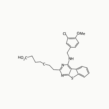 COc1ccc(CNc2nc(CCCCCCC(=O)O)nc3sc4ccccc4c23)cc1Cl